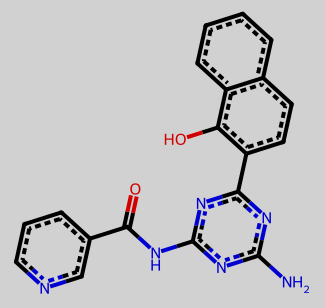 Nc1nc(NC(=O)c2cccnc2)nc(-c2ccc3ccccc3c2O)n1